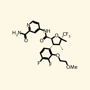 COCCOc1c([C@@H]2[C@@H](C(=O)Nc3ccnc(C(N)=O)c3)O[C@](C)(C(F)(F)F)[C@@H]2C)ccc(F)c1F